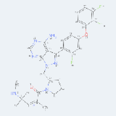 CCNC(C)(C)/C=C(/C#N)C(=O)N1CCC[C@H]1Cn1nc(-c2ccc(Oc3cccc(F)c3F)cc2F)c2c(N)ncnc21